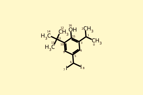 CC(C)c1cc(C(I)I)cc(C(C)(C)C)c1O